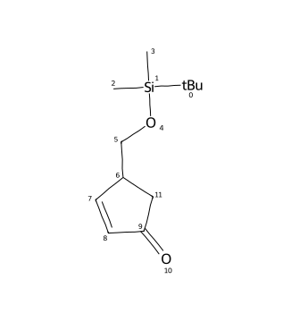 CC(C)(C)[Si](C)(C)OCC1C=CC(=O)C1